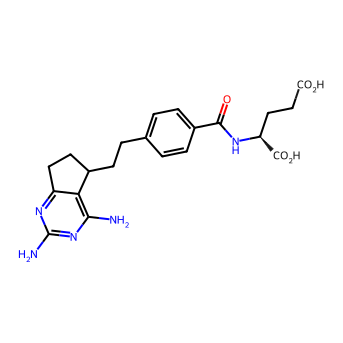 Nc1nc(N)c2c(n1)CCC2CCc1ccc(C(=O)N[C@@H](CCC(=O)O)C(=O)O)cc1